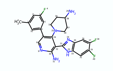 Cc1cc(F)cc(-c2cnc(N)c(-c3nc4cc(F)c(F)cc4[nH]3)c2N2CCC(N)CC2)c1